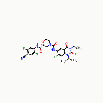 CCn1c(=O)c2cc(NC(=O)N3CCO[C@@H](C(=O)Nc4cc(F)c(C#N)cc4F)C3)c(F)cc2n(C(C)C)c1=O